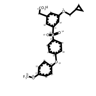 O=C(O)Cc1cc(OCC2CC2)cc(S(=O)(=O)c2ccc(Oc3ccc(OC(F)(F)F)cc3)cc2)c1